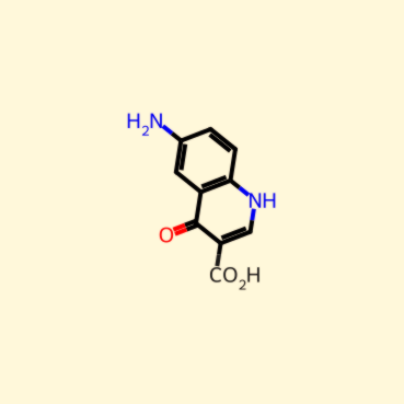 Nc1ccc2[nH]cc(C(=O)O)c(=O)c2c1